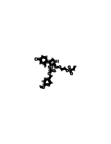 CCS(=O)(=O)OCCO/N=C1\NC[C@@H](c2ccc(Cl)cc2F)[C@@H]1NC(=O)OCc1ccc(OC)cc1